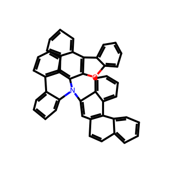 c1ccc(-c2ccccc2N(c2cc3ccc4ccccc4c3c3ccccc23)c2cc3ccccc3c3c2oc2ccccc23)cc1